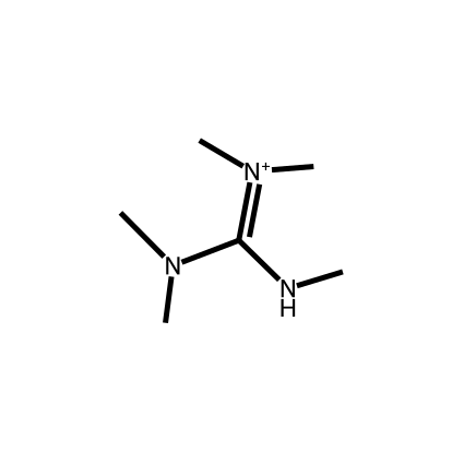 CNC(N(C)C)=[N+](C)C